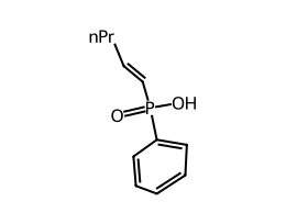 CCCC=CP(=O)(O)c1ccccc1